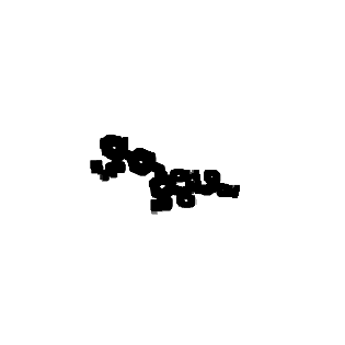 COc1cccnc1-c1ccc(CN2CCC(O)=C(C(=O)NCC(=O)O)C2=O)cc1